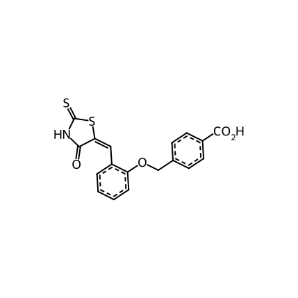 O=C1NC(=S)S/C1=C/c1ccccc1OCc1ccc(C(=O)O)cc1